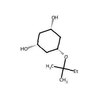 CCC(C)(C)O[C@@H]1C[C@H](O)C[C@H](O)C1